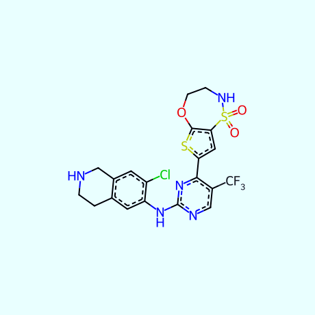 O=S1(=O)NCCOc2sc(-c3nc(Nc4cc5c(cc4Cl)CNCC5)ncc3C(F)(F)F)cc21